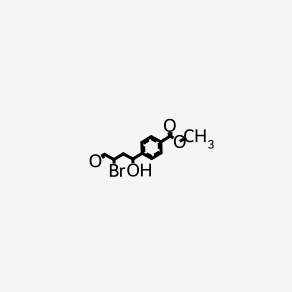 COC(=O)c1ccc(C(O)CC(Br)C=O)cc1